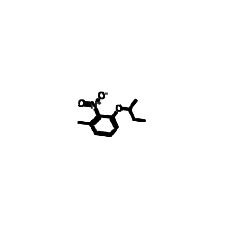 CCC(C)Oc1cccc(C)c1[N+](=O)[O-]